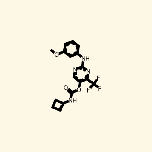 COc1cccc(Nc2ncc(OC(=O)NC3CCC3)c(C(F)(F)F)n2)c1